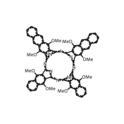 COc1c2c(c(OC)c3ccccc13)-c1nc-2nc2[nH]c(nc3nc(nc4[nH]c(n1)c1c(OC)c5cc6ccccc6cc5c(OC)c41)-c1c-3c(OC)c3cc4ccccc4cc3c1OC)c1c(OC)c3ccccc3c(OC)c21